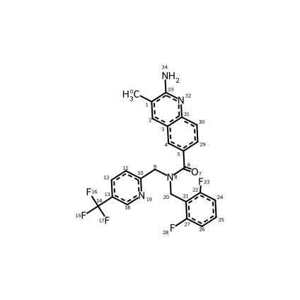 Cc1cc2cc(C(=O)N(Cc3ccc(C(F)(F)F)cn3)Cc3c(F)cccc3F)ccc2nc1N